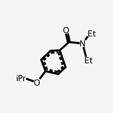 CCN(CC)C(=O)c1ccc(OC(C)C)cc1